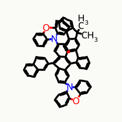 CC1(C)c2ccccc2-c2ccc(-c3ccccc3-c3c4ccc(N5c6ccccc6Oc6ccccc65)cc4c(-c4ccc5ccccc5c4)c4ccc(N5c6ccccc6Oc6ccccc65)cc34)cc21